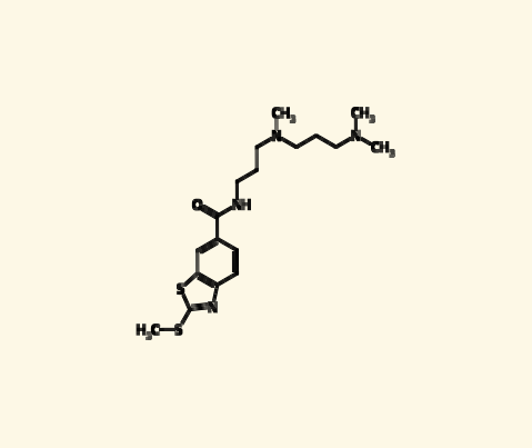 CSc1nc2ccc(C(=O)NCCCN(C)CCCN(C)C)cc2s1